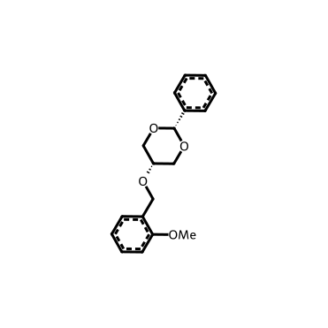 COc1ccccc1CO[C@H]1CO[C@@H](c2ccccc2)OC1